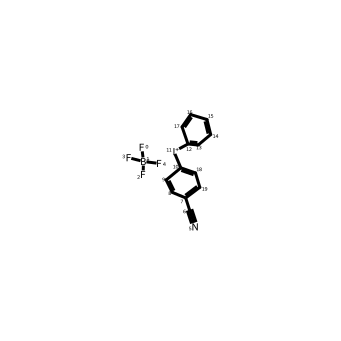 F[B-](F)(F)F.N#Cc1ccc([I+]c2ccccc2)cc1